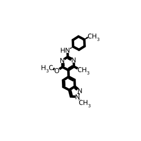 COc1nc(N[C@H]2CC[C@H](C)CC2)nc(C)c1-c1ccc2cn(C)nc2c1